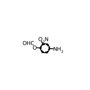 Nc1ccc(OC=O)c([N+](=O)[O-])c1